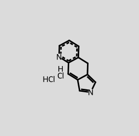 C1=NC=C2Cc3cccnc3C=C12.Cl.Cl